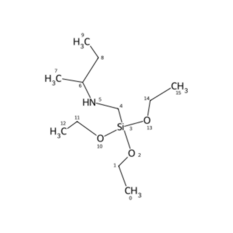 CCO[Si](CNC(C)CC)(OCC)OCC